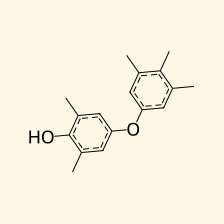 Cc1cc(Oc2cc(C)c(O)c(C)c2)cc(C)c1C